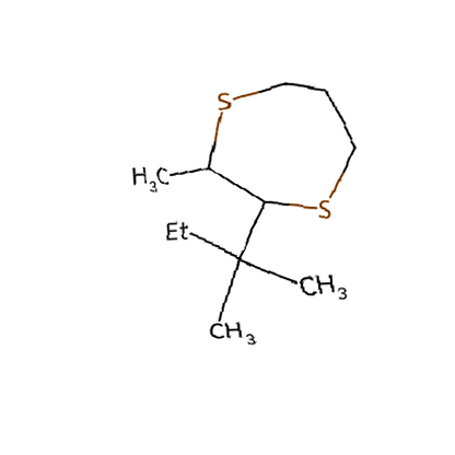 CCC(C)(C)C1SCCCSC1C